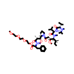 CC[C@H](C)[C@@H]([C@@H](CC(=O)N1CCC[C@H]1[C@H](OC)[C@@H](C)C(=O)NC(Cc1ccccc1)C(=O)OCCOCCOCCOC)OC)N(C)C(=O)[C@@H](NC(=O)[C@H](C(C)C)N(C)C(C)C)C(C)C